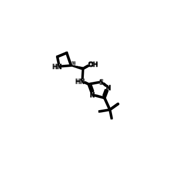 CC(C)(C)c1nsc(NC(O)[C@@H]2CCN2)n1